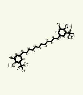 CCC(C)(C)c1cc(CCCCCCCCCCCCc2cc(C)c(O)c(C(C)(C)CC)c2)cc(C)c1O